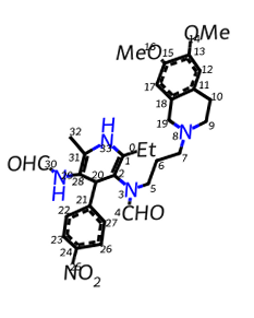 CCC1=C(N(C=O)CCCN2CCc3cc(OC)c(OC)cc3C2)C(c2ccc([N+](=O)[O-])cc2)C(NC=O)=C(C)N1